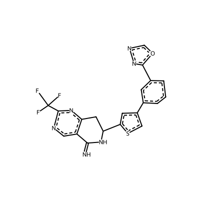 N=C1NC(c2cc(-c3cccc(-c4nnco4)c3)cs2)Cc2nc(C(F)(F)F)ncc21